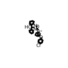 OC(c1ccccc1)(c1ccccc1)c1noc(C[N+]23CCC(CC2)C(Oc2ccc(Cl)cc2)C3)n1